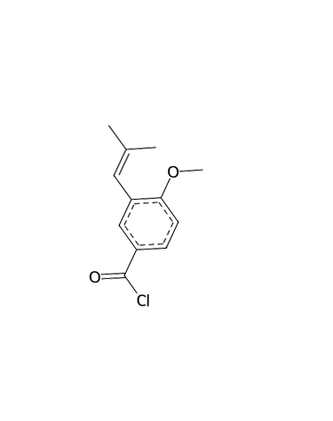 COc1ccc(C(=O)Cl)cc1C=C(C)C